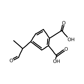 CC(C=O)c1ccc(C(=O)O)c(C(=O)O)c1